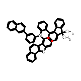 CC1(C)c2ccccc2-c2c(-c3ccccc3N(c3cccc(-c4ccc5ccccc5c4)c3)c3cccc4oc5c6ccccc6ccc5c34)cccc21